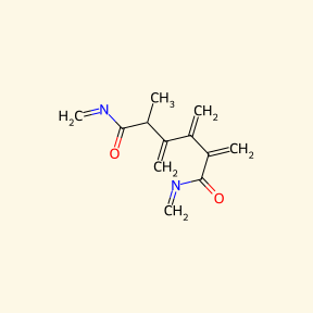 C=NC(=O)C(=C)C(=C)C(=C)C(C)C(=O)N=C